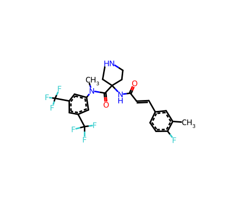 Cc1cc(/C=C/C(=O)NC2(C(=O)N(C)c3cc(C(F)(F)F)cc(C(F)(F)F)c3)CCNCC2)ccc1F